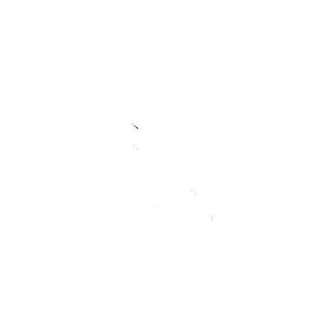 CC(C)(O)c1nc2cc(Cl)ccc2n1[C@H]1CC[C@@H](NC[C@@H]2Cc3ccc(Br)cc3C2)CC1